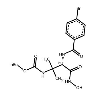 CCCCOC(=O)NC(C)(C)[C@H](NC(=O)c1ccc(Br)cc1)C(=O)NO